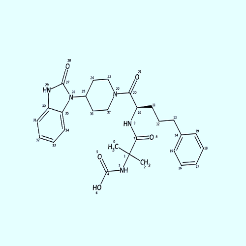 CC(C)(NC(=O)O)C(=O)N[C@H](CCCc1ccccc1)C(=O)N1CCC(n2c(=O)[nH]c3ccccc32)CC1